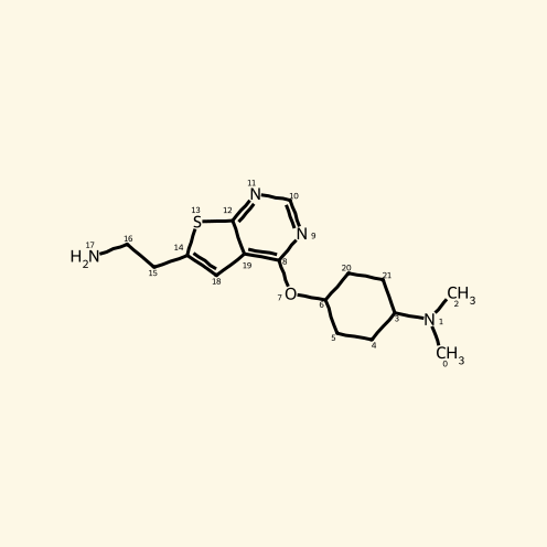 CN(C)C1CCC(Oc2ncnc3sc(CCN)cc23)CC1